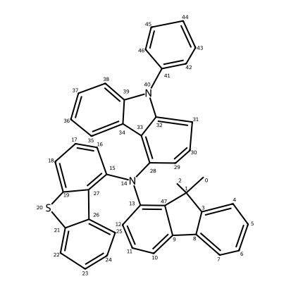 CC1(C)c2ccccc2-c2cccc(N(c3cccc4sc5ccccc5c34)c3cccc4c3c3ccccc3n4-c3ccccc3)c21